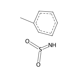 Cc1ccccc1.N=S(=O)=O